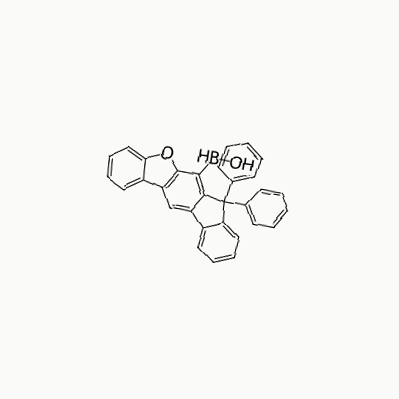 OBc1c2c(cc3c1oc1ccccc13)-c1ccccc1C2(c1ccccc1)c1ccccc1